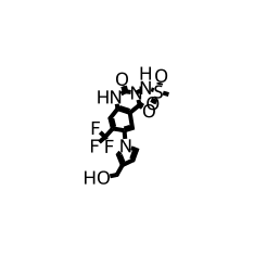 CS(=O)(=O)Nn1c(=O)[nH]c2cc(C(F)(F)F)c(-n3ccc(CO)c3)cc2c1=O